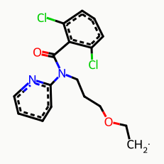 [CH2]COCCCN(C(=O)c1c(Cl)cccc1Cl)c1ccccn1